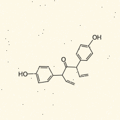 C=CC(C(=O)C(C=C)c1ccc(O)cc1)c1ccc(O)cc1